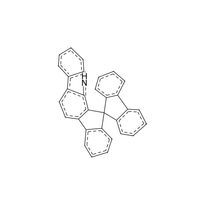 c1ccc2c(c1)-c1ccccc1C21c2ccccc2-c2ccc3c([nH]c4ccccc43)c21